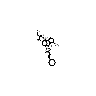 CC(C)[C@@]12C[C@@H](NC(=O)CO)C(C)(O1)[C@@H]1CC[C@@H](C)[C@H]1[C@@H]2OC(=O)/C=C/C1CCCCC1